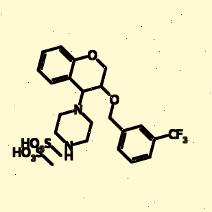 CS(=O)(=O)O.CS(=O)(=O)O.FC(F)(F)c1cccc(COC2COc3ccccc3C2N2CCNCC2)c1